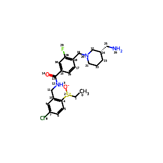 CC[S+]([O-])c1ccc(Cl)cc1CNC(=O)c1ccc(CN2CCC[C@@H](CN)C2)c(F)c1